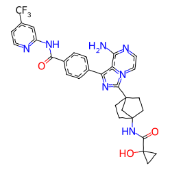 Nc1nccn2c(C34CCC(NC(=O)C5(O)CC5)(CC3)C4)nc(-c3ccc(C(=O)Nc4cc(C(F)(F)F)ccn4)cc3)c12